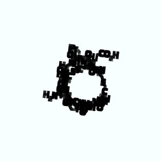 CC(C)C[C@@H]1NC(=O)[C@H](CCC(=O)O)NC(=O)[C@@H]2CSCC[C@@H]3NC(=O)[C@H](C)NC(=O)[C@@H]4CCCN4C(=O)[C@H](CC(N)=O)NC(=O)[C@H](CSSC[C@H](C)C(=O)N2)NC(=O)[C@H](CSSC[C@@H](C)NC(=O)CNC(=O)[C@H](C)NC3=O)NC1=O